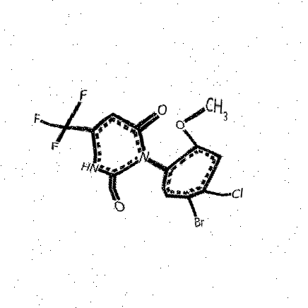 COc1cc(Cl)c(Br)cc1-n1c(=O)cc(C(F)(F)F)[nH]c1=O